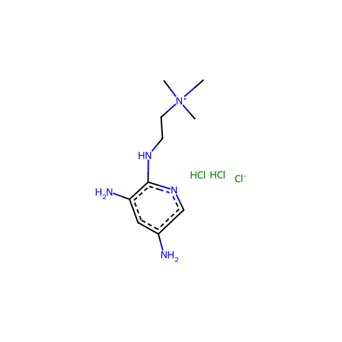 C[N+](C)(C)CCNc1ncc(N)cc1N.Cl.Cl.[Cl-]